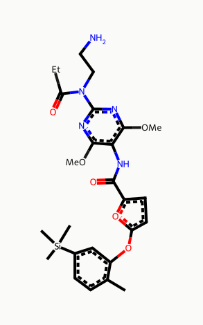 CCC(=O)N(CCN)c1nc(OC)c(NC(=O)c2ccc(Oc3cc([Si](C)(C)C)ccc3C)o2)c(OC)n1